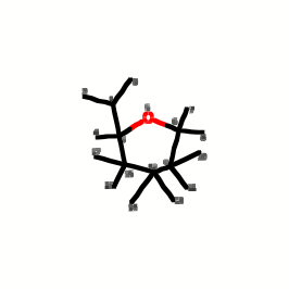 CC(C)C1(C)OC(C)(C)C(C)(C)C(C)(C)C1(C)C